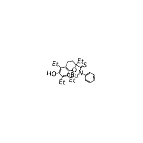 CCCCN(C(=S)C1(CC)CCc2c(CC)c(O)c(CC)c(CC)c2O1)c1ccccc1